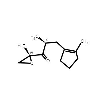 CC1=C(C[C@H](C)C(=O)[C@@]2(C)CO2)CCC1